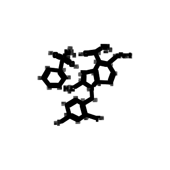 CCCCCc1ccc2c(nc(C)n2Cc2ccc(F)cc2F)c1C(N)=O.NS(=O)(=O)c1ccccc1